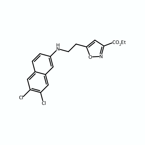 CCOC(=O)c1cc(CCNc2ccc3cc(Cl)c(Cl)cc3c2)on1